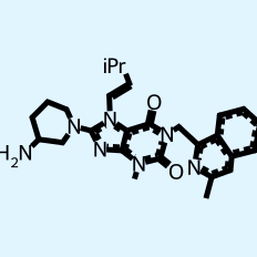 Cc1cc2ccccc2c(Cn2c(=O)c3c(nc(N4CCCC(N)C4)n3C=CC(C)C)n(C)c2=O)n1